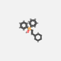 O=P(/C=C/C1CCCCC1)(c1ccccc1)c1ccccc1